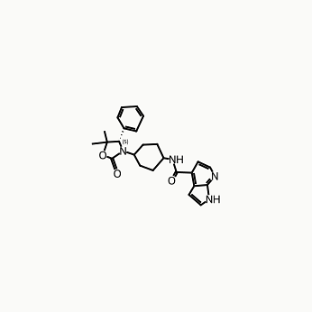 CC1(C)OC(=O)N(C2CCC(NC(=O)c3ccnc4[nH]ccc34)CC2)[C@H]1c1ccccc1